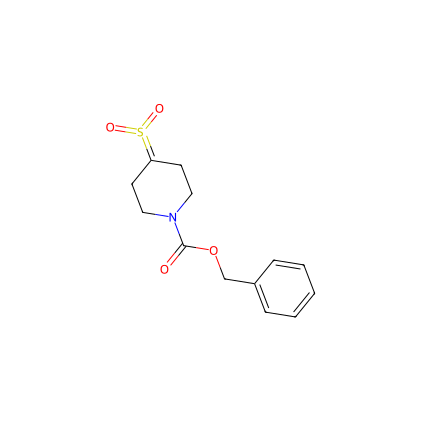 O=C(OCc1ccccc1)N1CCC(=S(=O)=O)CC1